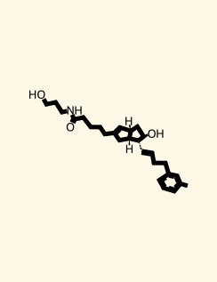 Cc1cccc(CC/C=C/[C@@H]2[C@H]3CC(CCCCC(=O)NCCCO)=C[C@H]3C[C@H]2O)c1